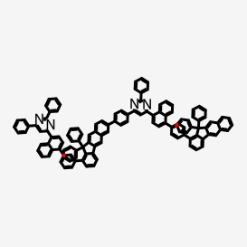 c1ccc(-c2cc(-c3ccc(-c4cccc(-c5cccc6c5C(c5ccccc5)(c5ccccc5)c5cc7ccc(-c8ccc(-c9cc(-c%10ccc(-c%11ccc(-c%12cccc%13c%12C(c%12ccccc%12)(c%12ccccc%12)c%12cc%14ccccc%14cc%12-%13)cc%11)c%11ccccc%10%11)nc(-c%10ccccc%10)n9)cc8)cc7cc5-6)c4)c4ccccc34)nc(-c3ccccc3)n2)cc1